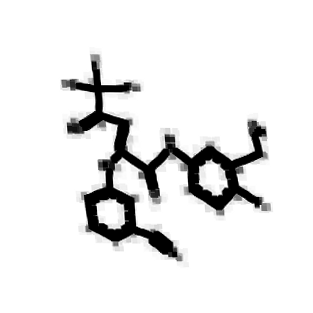 N#Cc1cccc(N/C(=C\C(=N)C(F)(F)F)C(=O)Nc2ccc(F)c(CO)c2)c1